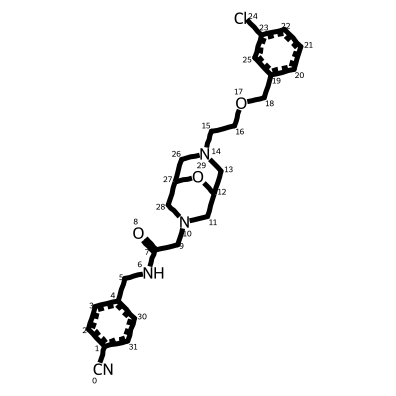 N#Cc1ccc(CNC(=O)CN2CC3CN(CCOCc4cccc(Cl)c4)CC(C2)O3)cc1